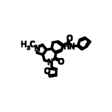 CN1CC2CN(c3ccco3)C(=O)C3=CC(C(=O)Nc4ccccc4)=CCC3C2C1